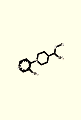 CCOC(N)C1CCN(c2ccncc2N)CC1